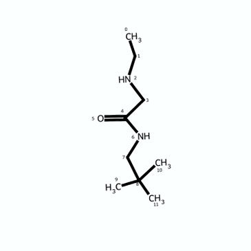 CCNCC(=O)NCC(C)(C)C